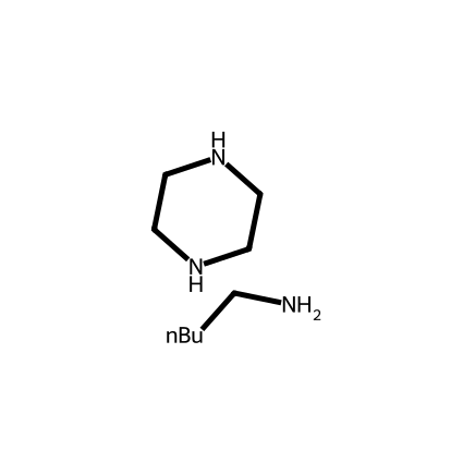 C1CNCCN1.CCCCCN